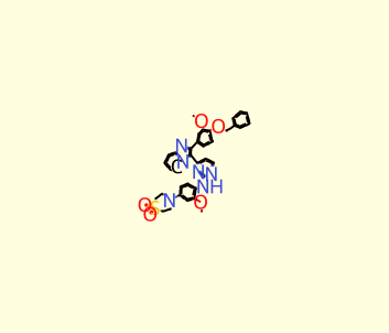 COc1cc(N2CCS(=O)(=O)CC2)ccc1Nc1nccc(-c2c(-c3ccc(OCc4ccccc4)c(OC)c3)nc3ccccn23)n1